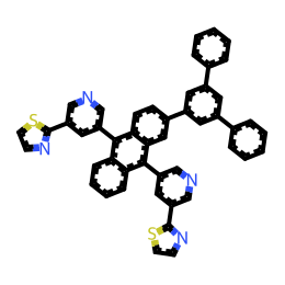 c1ccc(-c2cc(-c3ccccc3)cc(-c3ccc4c(-c5cncc(-c6nccs6)c5)c5ccccc5c(-c5cncc(-c6nccs6)c5)c4c3)c2)cc1